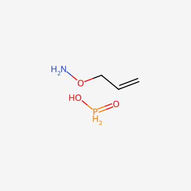 C=CCON.O=[PH2]O